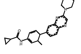 CC1C=C(NC(=O)C2CC2)C=CC1c1ccc2ncc(N3CCOCC3)nc2c1